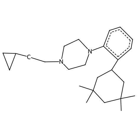 CC1(C)CC(c2ccccc2N2CCN(CCC3CC3)CC2)CC(C)(C)C1